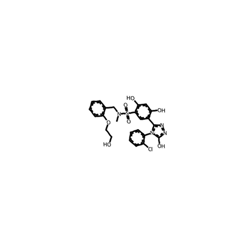 CN(Cc1ccccc1OCCO)S(=O)(=O)c1cc(-c2nnc(O)n2-c2ccccc2Cl)c(O)cc1O